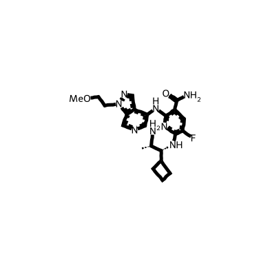 COCCn1ncc2c(Nc3nc(N[C@H](C4CCC4)[C@H](C)N)c(F)cc3C(N)=O)cncc21